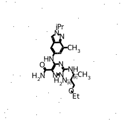 CCOC[C@H](N)[C@@H](C)Nc1nnc(C(N)=O)c(Nc2cc(C)c3nn(C(C)C)cc3c2)n1